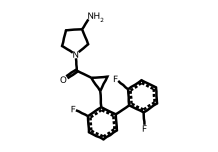 NC1CCN(C(=O)C2CC2c2c(F)cccc2-c2c(F)cccc2F)C1